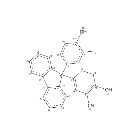 Cc1cc(C2(C3=CC(C#N)=C(O)CC3)c3ccccc3-c3ccccc32)ccc1O